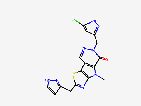 Cn1c2nc(Cc3cc[nH]n3)sc2c2cnn(Cc3cc(Cl)[nH]n3)c(=O)c21